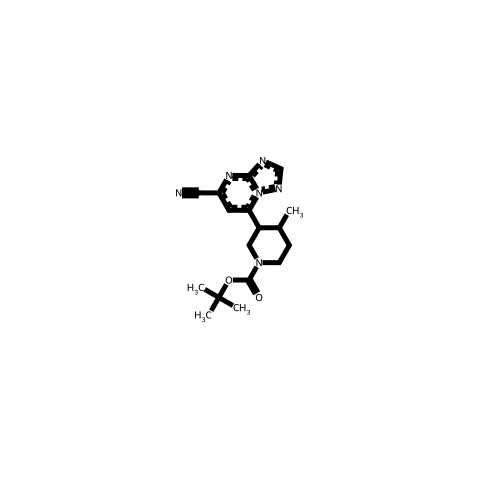 CC1CCN(C(=O)OC(C)(C)C)CC1c1cc(C#N)nc2ncnn12